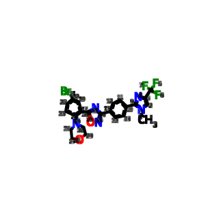 Cn1cc(C(F)(F)F)nc1-c1ccc(-c2noc(-c3cc(Br)ccc3N3CCOCC3)n2)cc1